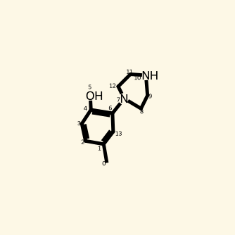 Cc1ccc(O)c(N2CCNCC2)c1